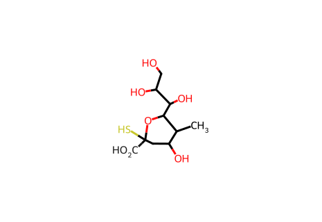 CC1C(O)CC(S)(C(=O)O)OC1C(O)C(O)CO